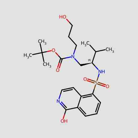 CC(C)[C@H](CN(CCCO)C(=O)OC(C)(C)C)NS(=O)(=O)c1cccc2c(O)nccc12